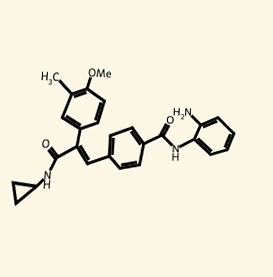 COc1ccc(/C(=C\c2ccc(C(=O)Nc3ccccc3N)cc2)C(=O)NC2CC2)cc1C